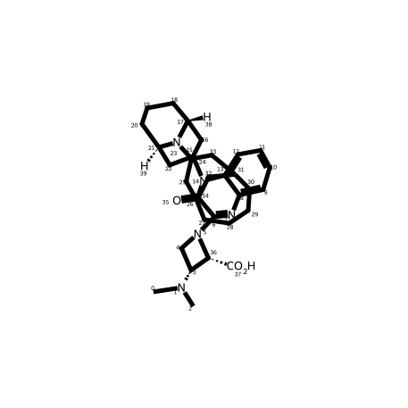 CN(C)[C@@H]1CN(c2nc3ccccc3n(C3C[C@H]4CCC[C@H](C3)N4C3CC4CCCCC(C4)C3)c2=O)[C@@H]1C(=O)O